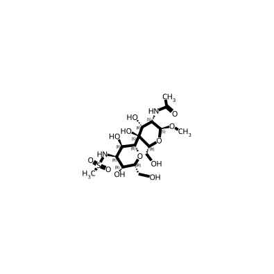 CO[C@H]1O[C@H](CO)[C@](O)([C@@H]2O[C@H](CO)[C@H](O)[C@@H](NS(C)(=O)=O)[C@H]2O)[C@H](O)[C@@H]1NC(C)=O